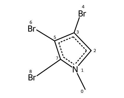 Cn1cc(Br)c(Br)c1Br